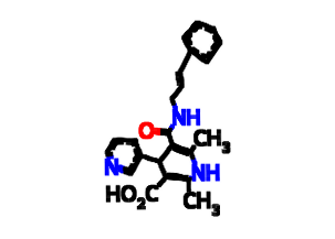 CC1=C(C(=O)O)C(c2cccnc2)C(C(=O)NCC=Cc2ccccc2)=C(C)N1